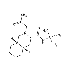 CC(=O)CN1C[C@H]2CCCC[C@H]2C[C@H]1C(=O)NC(C)(C)C